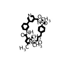 COC(=O)CCc1ccc(S(C)(=O)=NC(=O)c2cncc(-c3cccc(NC(=O)c4cc(C)nn4C)c3)c2)cc1